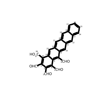 O=Cc1c(C=O)c(C=O)c2c(C=O)c3cc4cc5ccccc5cc4cc3cc2c1C(=O)O